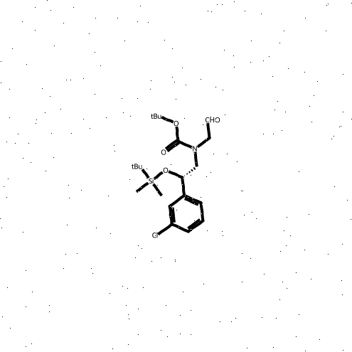 CC(C)(C)OC(=O)N(CC=O)C[C@@H](O[Si](C)(C)C(C)(C)C)c1cccc(Cl)c1